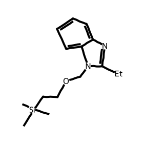 CCc1nc2ccccc2n1COCC[Si](C)(C)C